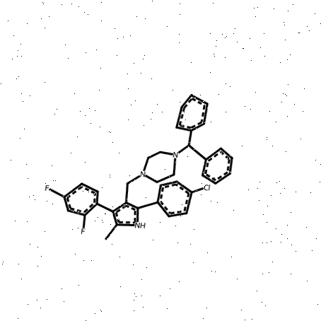 Cc1[nH]c(-c2ccc(Cl)cc2)c(CN2CCN(C(c3ccccc3)c3ccccc3)CC2)c1-c1ccc(F)cc1F